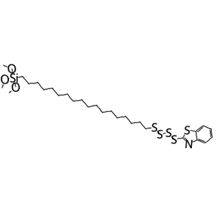 CO[Si](CCCCCCCCCCCCCCCCCCSSSSc1nc2ccccc2s1)(OC)OC